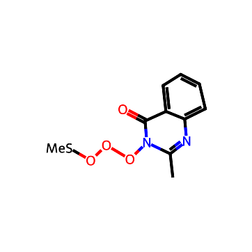 CSOOOn1c(C)nc2ccccc2c1=O